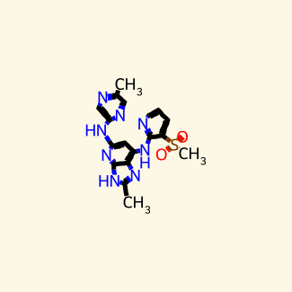 Cc1cnc(Nc2cc(Nc3ncccc3S(C)(=O)=O)c3nc(C)[nH]c3n2)cn1